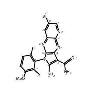 COc1ccc(C)c(-n2c(N)c(C(N)=O)c3nc4ncc(Br)cc4nc32)c1C